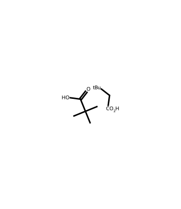 CC(C)(C)C(=O)O.CC(C)(C)CC(=O)O